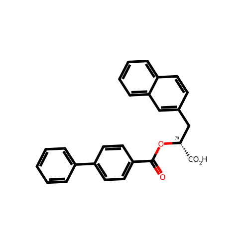 O=C(O[C@H](Cc1ccc2ccccc2c1)C(=O)O)c1ccc(-c2ccccc2)cc1